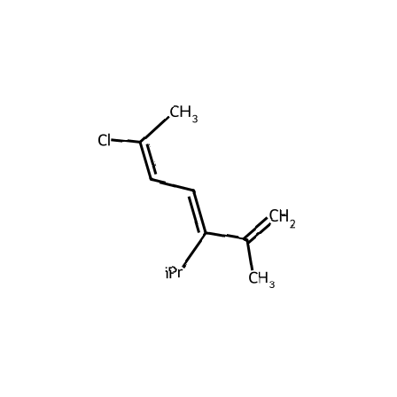 C=C(C)/C(=C/C=C(\C)Cl)C(C)C